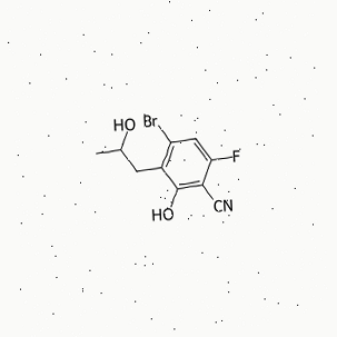 CC(O)Cc1c(Br)cc(F)c(C#N)c1O